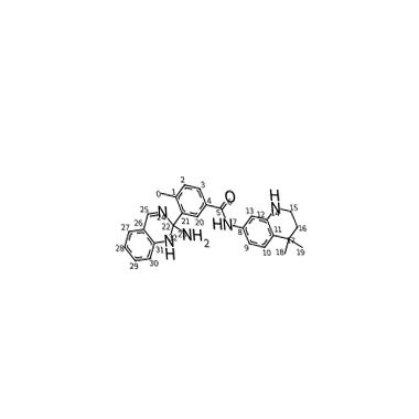 Cc1ccc(C(=O)Nc2ccc3c(c2)NCCC3(C)C)cc1C1(N)N=Cc2ccccc2N1